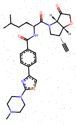 C#C[C@@H]1CN(C(=O)[C@H](CCC(C)C)NC(=O)c2ccc(-c3csc(N4CCN(C)CC4)n3)cc2)[C@@H]2C(=O)CO[C@H]12